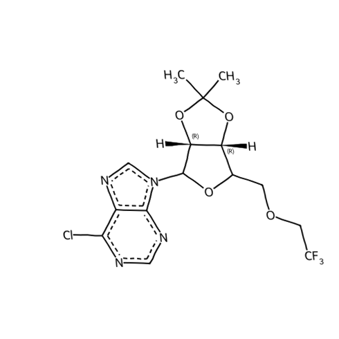 CC1(C)O[C@@H]2C(COCC(F)(F)F)OC(n3cnc4c(Cl)ncnc43)[C@@H]2O1